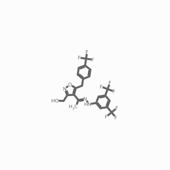 C/C(=N\Nc1cc(C(F)(F)F)cc(C(F)(F)F)c1)c1c(CO)noc1Cc1ccc(C(F)(F)F)cc1